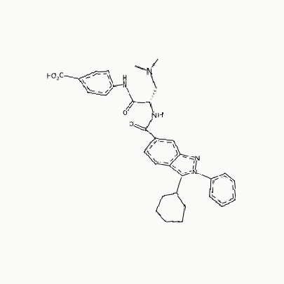 CN(C)C[C@H](NC(=O)c1ccc2c(C3CCCCC3)n(-c3ccccc3)nc2c1)C(=O)Nc1ccc(C(=O)O)cc1